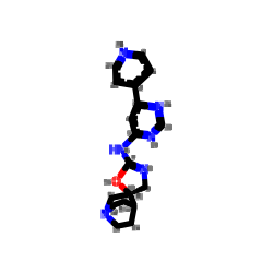 c1cc(-c2cc(NC3=NC[C@@]4(CN5CCC4CC5)O3)ncn2)ccn1